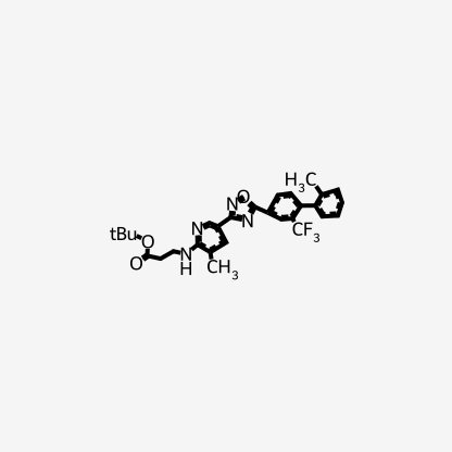 Cc1ccccc1-c1ccc(-c2nc(-c3cnc(NCCC(=O)OC(C)(C)C)c(C)c3)no2)cc1C(F)(F)F